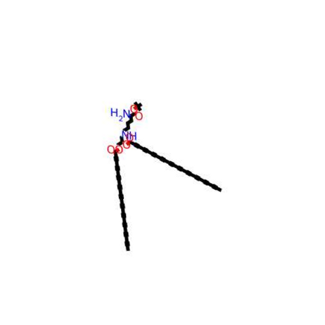 CC#CC#CC#CC#CC#CC#CC#CC#CC#CC#CC(=O)OCC(CNCCCCC(N)C(=O)OC(C)(C)C)OC(=O)C#CC#CC#CC#CC#CC#CC#CC#CC#CC#CC